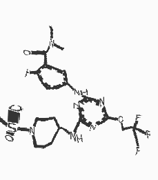 CN(C)C(=O)c1cc(Nc2nc(NC3CCN(S(C)(=O)=O)CC3)nc(OCC(F)(F)F)n2)ccc1F